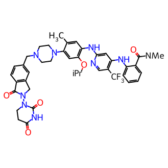 CNC(=O)c1ccccc1Nc1cc(Nc2cc(C)c(N3CCN(Cc4ccc5c(c4)CN(N4CCC(=O)NC4=O)C5=O)CC3)cc2OC(C)C)ncc1C(F)(F)F